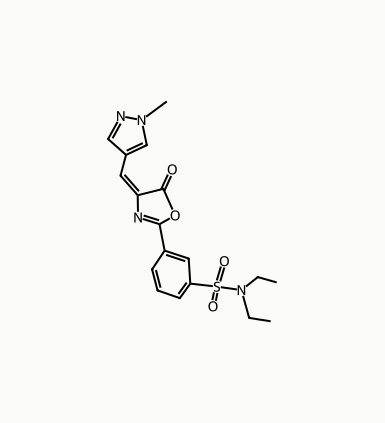 CCN(CC)S(=O)(=O)c1cccc(C2=NC(=Cc3cnn(C)c3)C(=O)O2)c1